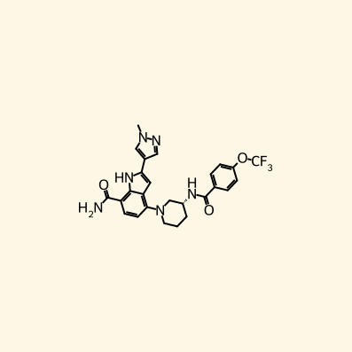 Cn1cc(-c2cc3c(N4CCC[C@@H](NC(=O)c5ccc(OC(F)(F)F)cc5)C4)ccc(C(N)=O)c3[nH]2)cn1